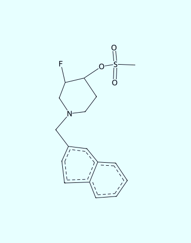 CS(=O)(=O)OC1CCN(Cc2ccc3ccccc3c2)CC1F